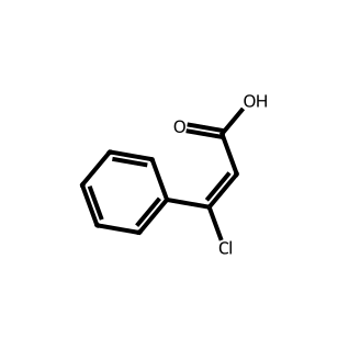 O=C(O)/C=C(/Cl)c1ccccc1